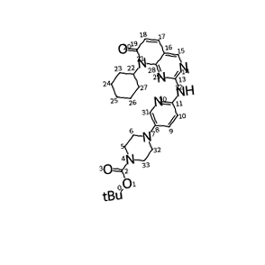 CC(C)(C)OC(=O)N1CCN(c2ccc(Nc3ncc4ccc(=O)n(C5CCCCC5)c4n3)nc2)CC1